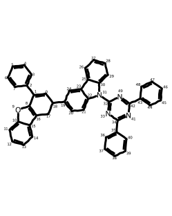 C1=C(c2ccccc2)c2oc3ccccc3c2CC1c1ccc2c(c1)c1ccccc1n2-c1nc(-c2ccccc2)nc(-c2ccccc2)n1